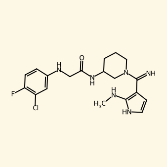 CNc1[nH]ccc1C(=N)N1CCCC(NC(=O)CNc2ccc(F)c(Cl)c2)C1